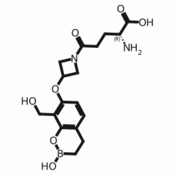 N[C@H](CCC(=O)N1CC(Oc2ccc3c(c2CO)OB(O)CC3)C1)C(=O)O